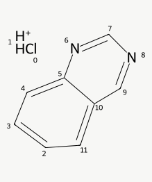 Cl.[H+].c1ccc2ncncc2c1